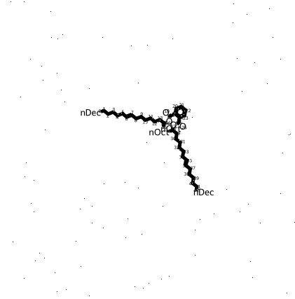 CCCCCCCCCCCCCCCC=CCCCCCCC(CCCCCCCC)OC(=O)c1ccccc1C(=O)OC(CCCCCCC=CCCCCCCCCCCCCCCC)CCCCCCCC